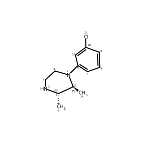 C[C@@H]1NCCN(c2cccc(Cl)c2)[C@H]1C